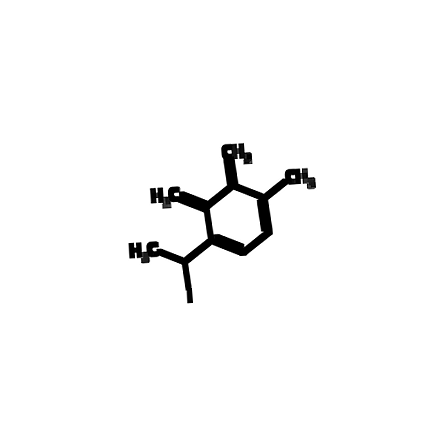 C=c1c(C)ccc(C(C)I)c1=C